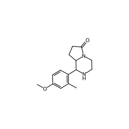 COc1ccc(C2NCCN3C(=O)CCC23)c(C)c1